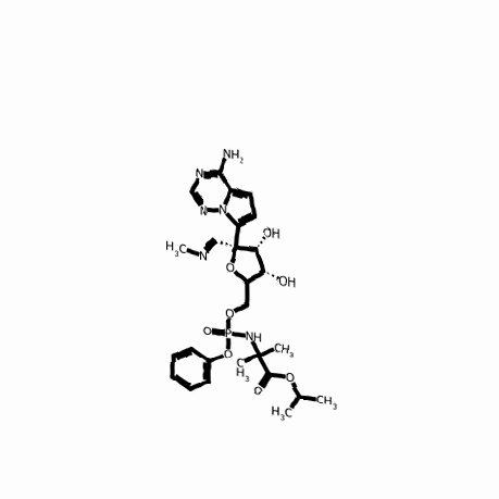 CN=C[C@@]1(c2ccc3c(N)ncnn23)OC(COP(=O)(NC(C)(C)C(=O)OC(C)C)Oc2ccccc2)[C@@H](O)[C@H]1O